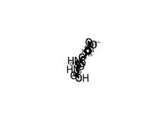 C[C@H](NC(=O)OCc1ccc([N+](=O)[O-])cc1)C(=O)NCC(=O)O